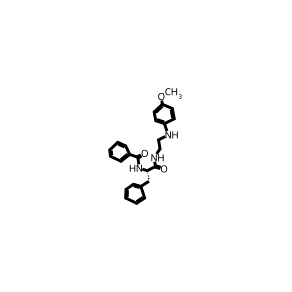 COc1ccc(NCCNC(=O)[C@H](Cc2ccccc2)NC(=O)c2ccccc2)cc1